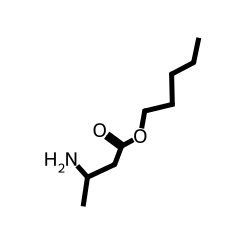 CCCCCOC(=O)CC(C)N